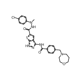 CN(NC(=O)c1cc2c(NC(=O)c3ccc(CN4CCCOCC4)cc3)n[nH]c2s1)c1ccc(Cl)cc1